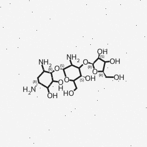 NC1C(O[C@@H]2O[C@H](CO)C(O)[C@@H]2O)[C@H](O)C(CO)O[C@@H]1O[C@@H]1C(N)C[C@@H](N)C(O)C1O